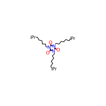 CC(C)CCCCCCn1c(=O)n(CCCCCCC(C)C)c(=O)n(CCCCCCC(C)C)c1=O